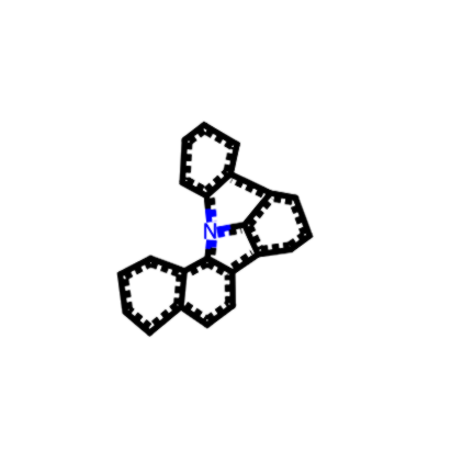 c1ccc2c(c1)ccc1c3cccc4c5ccccc5n(c21)c43